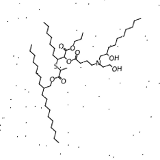 CCCCCCCCCCC(CCCCCCCC)COC(=O)C(C)SC(CCCCCCC)C(OC(=O)CCCN(CCO)CC(O)CCCCCCCC)C(=O)OCCC